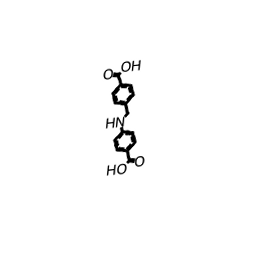 O=C(O)c1ccc(CNc2ccc(C(=O)O)cc2)cc1